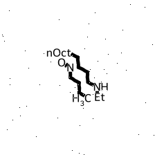 CCCCCCCCCCCCNCC.CCCCN=O